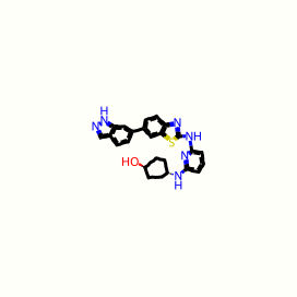 O[C@H]1CC[C@H](Nc2cccc(Nc3nc4ccc(-c5ccc6cn[nH]c6c5)cc4s3)n2)CC1